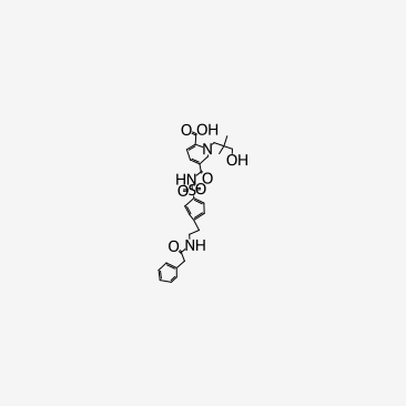 CC(C)(CO)CN1CC(C(=O)NS(=O)(=O)c2ccc(CCNC(=O)Cc3ccccc3)cc2)=CC=C1C(=O)O